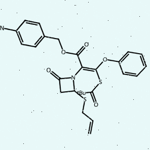 C=CCSC1CC(=O)N1C(C(=O)OCc1ccc([N+](=O)[O-])cc1)=C(Oc1ccccc1)SC(=O)C(C)(C)C